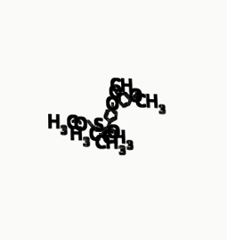 CCOCCSC(C(=O)c1ccc(Oc2ccc(OC)cc2OC)cc1)C(C)(C)C